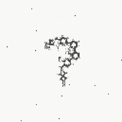 COc1nc(-c2cccc(-c3cccc(-c4ccc(CN5CC6(CNC6)C5)c(OC)n4)c3Cl)c2Cl)ccc1CN1CC2(CNC2)C1